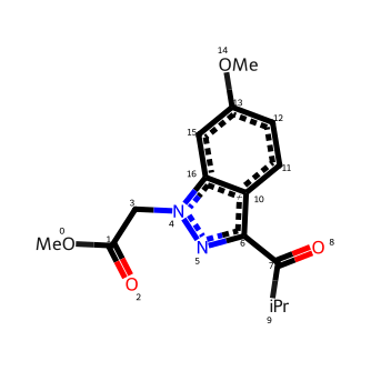 COC(=O)Cn1nc(C(=O)C(C)C)c2ccc(OC)cc21